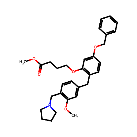 COC(=O)CCCOc1cc(OCc2ccccc2)c[c]c1Cc1ccc(CN2CCCC2)c(OC)c1